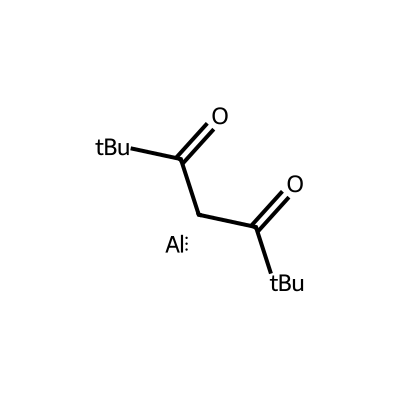 CC(C)(C)C(=O)CC(=O)C(C)(C)C.[Al]